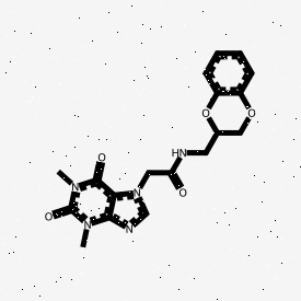 Cn1c(=O)c2c(ncn2CC(=O)NCC2COc3ccccc3O2)n(C)c1=O